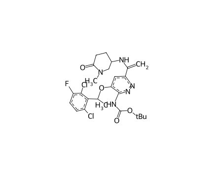 C=C(NC1CCC(=O)N(C)C1)c1cc(OC(C)c2c(Cl)ccc(F)c2Cl)c(NC(=O)OC(C)(C)C)nn1